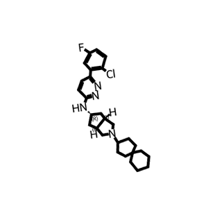 Fc1ccc(Cl)c(-c2ccc(N[C@@H]3C[C@@H]4CN(C5CCC6(CCCCC6)CC5)C[C@@H]4C3)nn2)c1